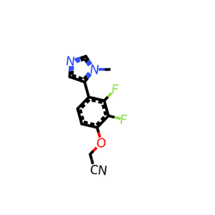 Cn1cncc1-c1ccc(OCC#N)c(F)c1F